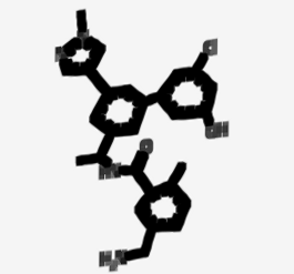 Cc1ccc(CN)cc1C(=O)NC(C)c1cc(-c2cc(O)cc(Cl)c2)cc(-c2cnn(C)c2)c1